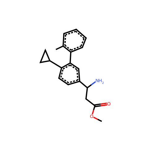 COC(=O)CC(N)c1ccc(C2CC2)c(-c2ccccc2C)c1